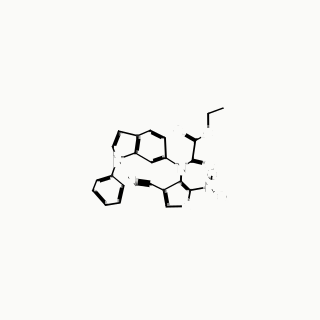 CCOC(=O)C(=O)N(c1ccc2ccn(-c3ccccc3)c2c1)c1c(C#N)csc1[N+](=O)[O-]